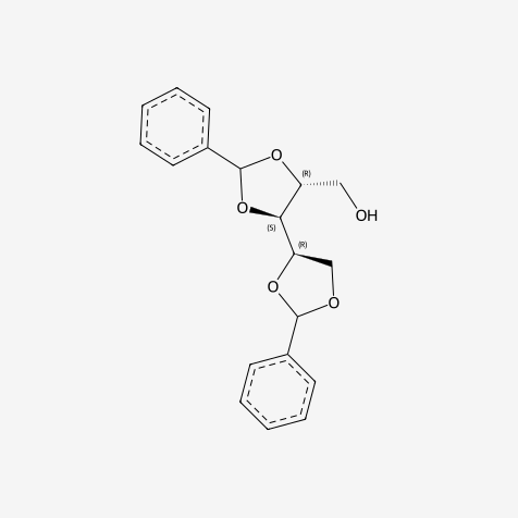 OC[C@H]1OC(c2ccccc2)O[C@@H]1[C@H]1COC(c2ccccc2)O1